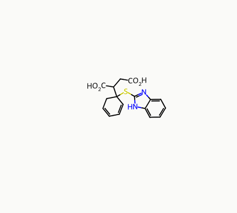 O=C(O)CC(C(=O)O)C1(Sc2nc3ccccc3[nH]2)C=CC=CC1